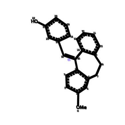 COc1ccc2c(c1)CCc1ccccc1/C2=C\c1cccc(O)c1